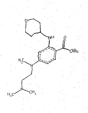 CC(C)COC(=O)c1ccc(N(C)CCN(C)C)cc1NC1CCOCC1